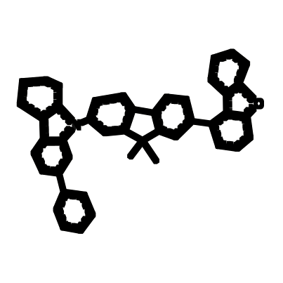 CC1(C)c2cc(-c3cccc4oc5ccccc5c34)ccc2-c2ccc(-n3c4ccccc4c4ccc(-c5ccccc5)cc43)cc21